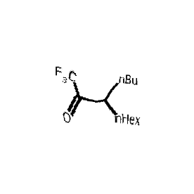 CCCCCCC(CCCC)C(=O)C(F)(F)F